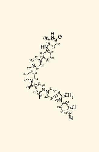 C[C@H]1CC2(CCN(c3ccc(C(=O)N4CCC(CN5CCN(c6cccc(N[C@@H]7CCC(=O)NC7=O)c6)CC5)CC4)cc3F)CC2)CN1c1ccc(C#N)c(Cl)c1